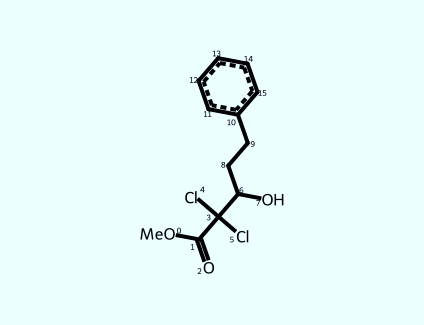 COC(=O)C(Cl)(Cl)C(O)CCc1ccccc1